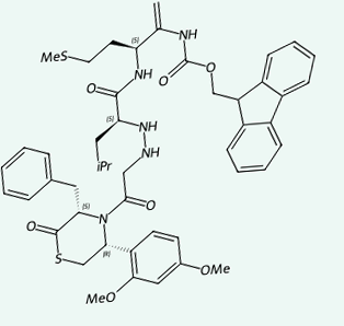 C=C(NC(=O)OCC1c2ccccc2-c2ccccc21)[C@H](CCSC)NC(=O)[C@H](CC(C)C)NNCC(=O)N1[C@@H](Cc2ccccc2)C(=O)SC[C@H]1c1ccc(OC)cc1OC